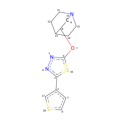 c1cc(-c2nnc(OC3CN4CCC3CC4)s2)cs1